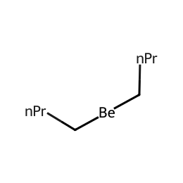 CCC[CH2][Be][CH2]CCC